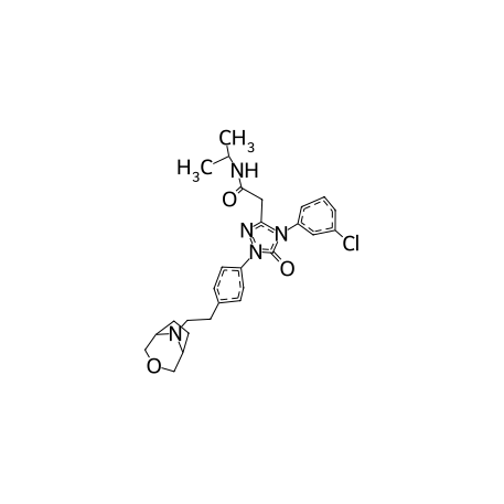 CC(C)NC(=O)Cc1nn(-c2ccc(CCN3C4CCC3COC4)cc2)c(=O)n1-c1cccc(Cl)c1